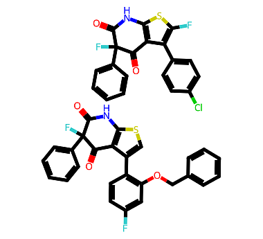 O=C1Nc2sc(F)c(-c3ccc(Cl)cc3)c2C(=O)C1(F)c1ccccc1.O=C1Nc2scc(-c3ccc(F)cc3OCc3ccccc3)c2C(=O)C1(F)c1ccccc1